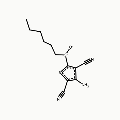 CCCCCC[S+]([O-])c1sc(C#N)c(N)c1C#N